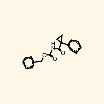 O=C(NC(=O)C1(c2ccccc2)CC1)OCc1ccccc1